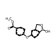 COC(=O)c1ccc(Oc2ccc3c(c2)COB3O)cc1